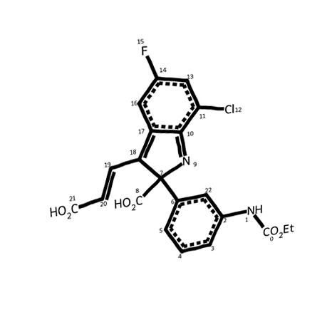 CCOC(=O)Nc1cccc(C2(C(=O)O)N=c3c(Cl)cc(F)cc3=C2C=CC(=O)O)c1